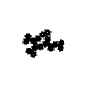 c1ccc2c(c1)c1ccccc1n2-c1ccc2c(c1)c1cccc3c4c5cc(-c6ccc7c8cc(-n9c%10ccccc%10c%10ccccc%109)cc9c%10c%11cc(-n%12c%13ccccc%13c%13ccccc%13%12)cc%12c%13ccccc%13n(c%12%11)c%10n(c7c6)c89)cc6c7cc(-n8c9ccccc9c9ccccc98)ccc7n(c65)c4n2c13